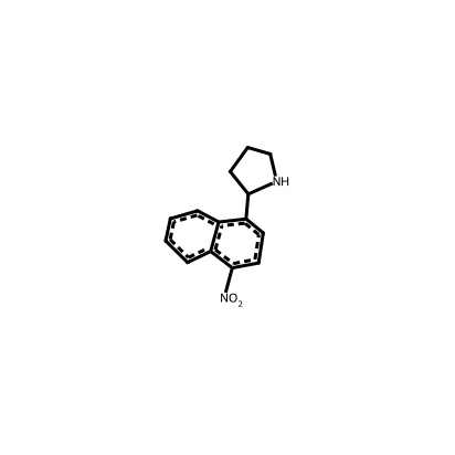 O=[N+]([O-])c1ccc(C2CCCN2)c2ccccc12